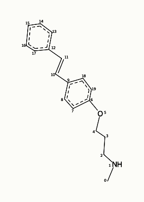 CNCCCOc1ccc(C=Cc2ccccc2)cc1